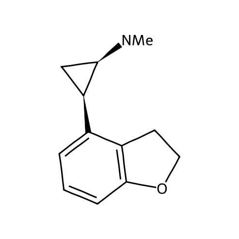 CN[C@@H]1C[C@@H]1c1cccc2c1CCO2